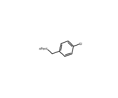 [Li][c]1ccc(CCCCCC)cc1